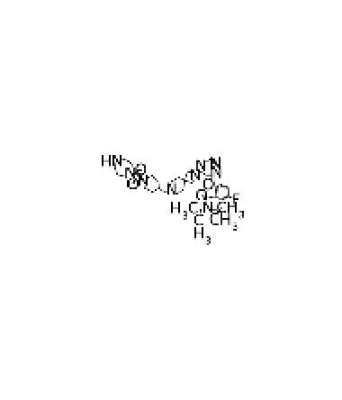 CC(C)N(C(=O)c1cc(F)ccc1Oc1nncnc1N1CC2(CCN(CC3CCN(S(=O)(=O)N4CCCNCC4)CC3)CC2)C1)C(C)C